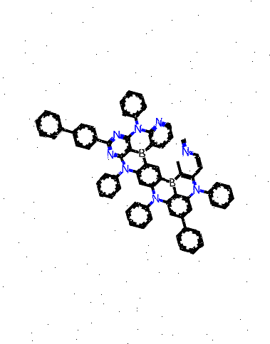 C=N/C=C\C1=C(C)B2c3cc4c(cc3N(c3ccccc3)c3cc(-c5ccccc5)cc(c32)N1c1ccccc1)N(c1ccccc1)c1nc(-c2ccc(-c3ccccc3)cc2)nc2c1B4c1cccnc1N2c1ccccc1